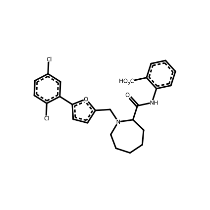 O=C(O)c1ccccc1NC(=O)C1CCCCCN1Cc1ccc(-c2cc(Cl)ccc2Cl)o1